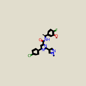 COc1cc([C@H](C)NC(=O)c2cc(-c3ccc(Cl)cc3)nc(-c3cnn(C)c3)n2)ccc1F